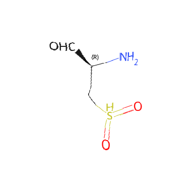 N[C@H](C=O)C[SH](=O)=O